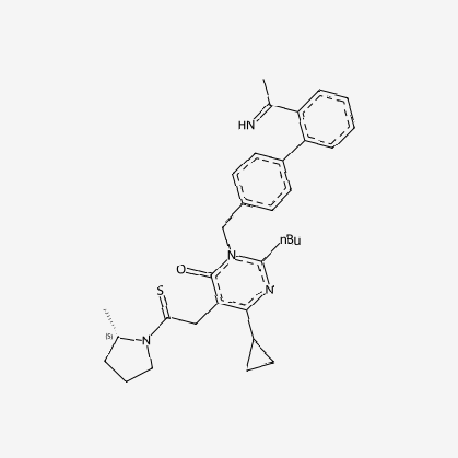 CCCCc1nc(C2CC2)c(CC(=S)N2CCC[C@@H]2C)c(=O)n1Cc1ccc(-c2ccccc2C(C)=N)cc1